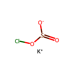 O=S([O-])OCl.[K+]